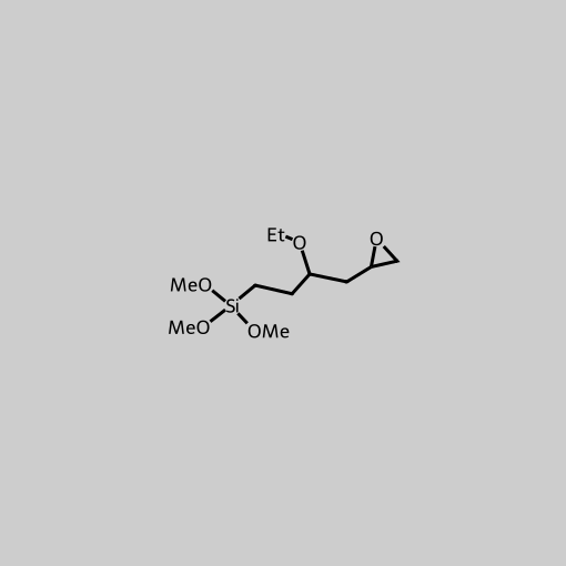 CCOC(CC[Si](OC)(OC)OC)CC1CO1